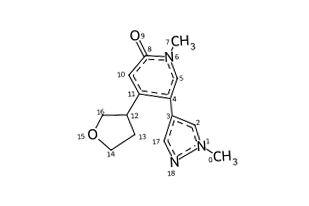 Cn1cc(-c2cn(C)c(=O)cc2C2CCOC2)cn1